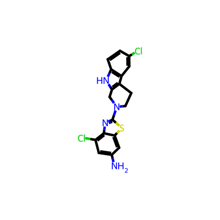 Nc1cc(Cl)c2nc(N3CCc4c([nH]c5ccc(Cl)cc45)C3)sc2c1